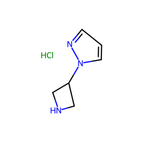 Cl.c1cnn(C2CNC2)c1